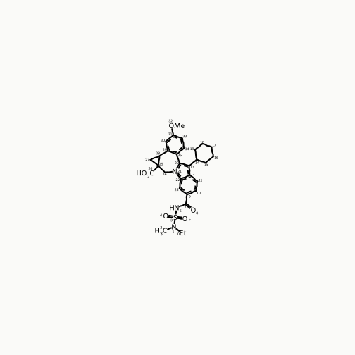 CCN(C)S(=O)(=O)NC(=O)c1ccc2c(C3CCCCC3)c3n(c2c1)CC1(C(=O)O)CC1c1cc(OC)ccc1-3